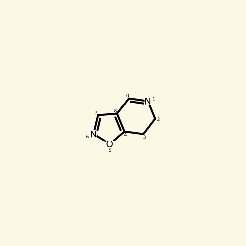 C1=NCCc2oncc21